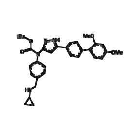 COc1ccc(-c2ccc(-c3cc(N(C(=O)OC(C)(C)C)c4ccc(CNC5CC5)cc4)n[nH]3)cc2)c(OC)c1